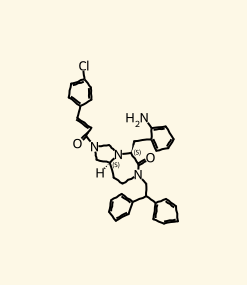 Nc1ccccc1C[C@H]1C(=O)N(CC(c2ccccc2)c2ccccc2)CC[C@H]2CN(C(=O)C=Cc3ccc(Cl)cc3)CN21